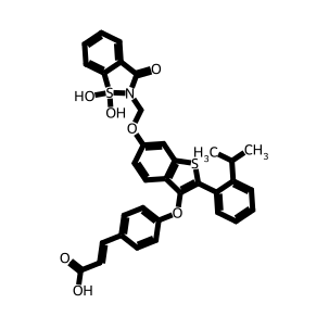 CC(C)c1ccccc1-c1sc2cc(OCN3C(=O)c4ccccc4S3(O)O)ccc2c1Oc1ccc(C=CC(=O)O)cc1